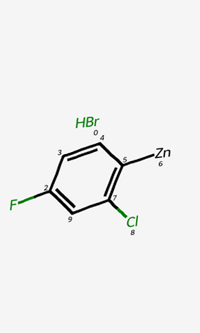 Br.Fc1cc[c]([Zn])c(Cl)c1